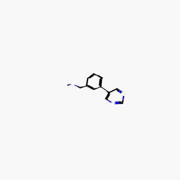 O=C(O)NCc1cccc(-c2cncnc2)c1